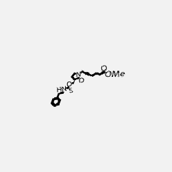 COC(=O)CCCC#CCN1CC[C@H](COC(=S)NCCc2ccccc2)C1=O